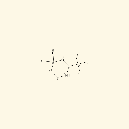 CC(C)(C)C1NCCC(F)(F)O1